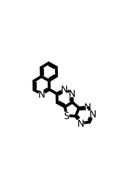 c1ccc2c(-c3cc4sc5ncnnc5c4nn3)nccc2c1